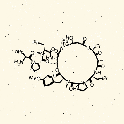 CCCC(N)C(=O)N1CCC[C@H]1C(=O)N(C)[C@H](CC(C)C)C(=O)N[C@@H]1C(=O)N[C@H]([C@@H](C)CC)[C@@H](O)CC(=O)O[C@@H](C(C)C)C(=O)[C@H](C)C(=O)N[C@@H](CC(C)C)C(=O)N2CCC[C@H]2C(=O)N(C)[C@@H](Cc2ccc(OC)cc2)C(=O)O[C@@H]1C